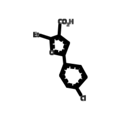 CCc1oc(-c2ccc(Cl)cc2)cc1C(=O)O